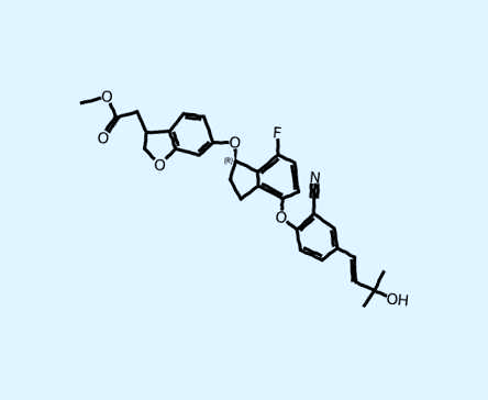 COC(=O)CC1COc2cc(O[C@@H]3CCc4c(Oc5ccc(C=CC(C)(C)O)cc5C#N)ccc(F)c43)ccc21